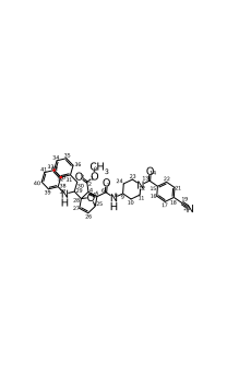 COC(=O)C1=C(C(=O)NC2CCN(C(=O)c3ccc(C#N)cc3)CC2)C2C=CC1(C(Cc1ccccc1)Nc1ccccc1)O2